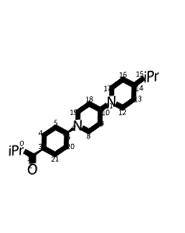 CC(C)C(=O)[C@H]1CC[C@@H](N2CCC(N3CCC(C(C)C)CC3)CC2)CC1